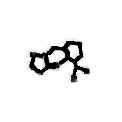 CCN(CC)C1CCCC2=C1N=C1N=CNN1C2